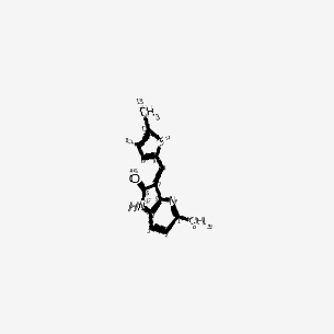 Cc1ccc2c(n1)C(=Cc1ccc(C)s1)C(=O)N2